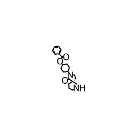 O=C(O[C@H]1CC[C@@H](N2CC[C@]3(CCCNC3)C2=O)CC1)c1ccccc1